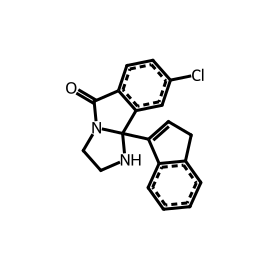 O=C1c2ccc(Cl)cc2C2(C3=CCc4ccccc43)NCCN12